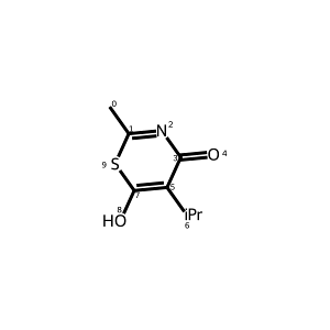 Cc1nc(=O)c(C(C)C)c(O)s1